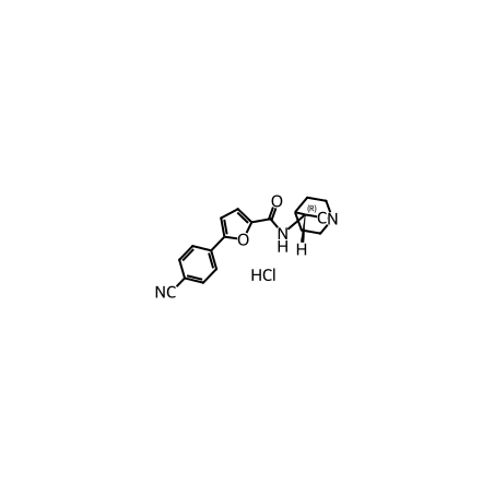 Cl.N#Cc1ccc(-c2ccc(C(=O)N[C@H]3CN4CCC3CC4)o2)cc1